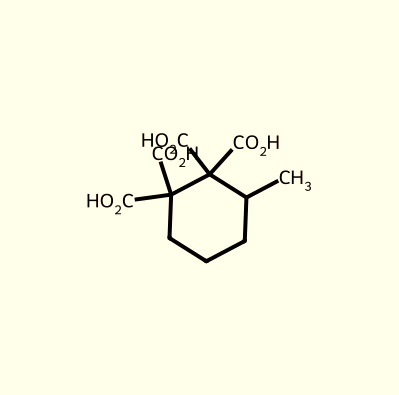 CC1CCCC(C(=O)O)(C(=O)O)C1(C(=O)O)C(=O)O